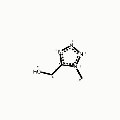 Cn1nnnc1CO